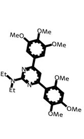 CCN(CC)c1nc(-c2cc(OC)c(OC)c(OC)c2)cc(-c2cc(OC)c(OC)cc2OC)n1